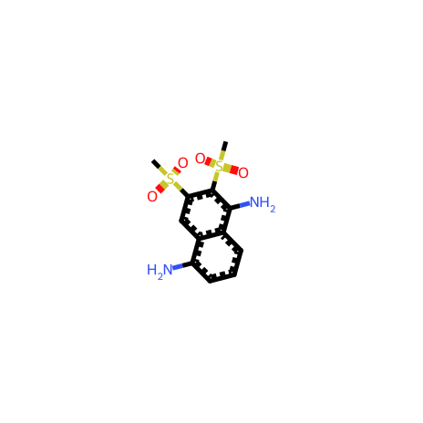 CS(=O)(=O)c1cc2c(N)cccc2c(N)c1S(C)(=O)=O